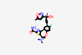 Cc1cc([C@](C)(O)C#Cc2cc3c(cc2F)OC[C@H](N(C)C)c2sc(C(N)=O)nc2-3)no1